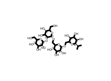 CC(C)[C@H]1OC(CO[C@H]2OC(CO[C@H]3OC(CO)[C@@H](O)C(O)[C@H]3O[C@H]3OC(CO)[C@@H](O)C(O)[C@H]3O)[C@@H](O)C(O)[C@H]2O)[C@@H](O)C(O)[C@H]1O